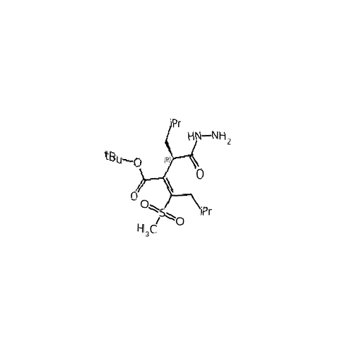 CC(C)CC(=C(C(=O)OC(C)(C)C)[C@@H](CC(C)C)C(=O)NN)S(C)(=O)=O